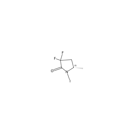 C[C@H]1CC(F)(F)C(=O)N1I